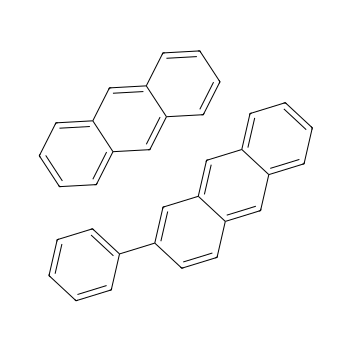 c1ccc(-c2ccc3cc4ccccc4cc3c2)cc1.c1ccc2cc3ccccc3cc2c1